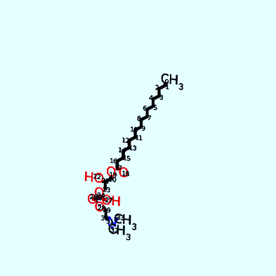 CCCCCCCCCCCCCCCCCC(=O)OCC(O)COP(=O)(O)OCCN(C)C